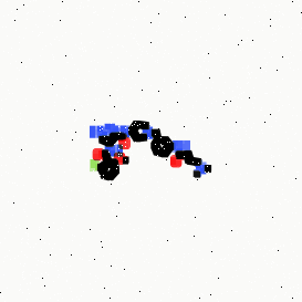 COc1cccc(F)c1C(=O)Nc1c[nH]nc1C(=O)NC1CCN(Cc2cccc(NC(=O)C=CCN(C)C)c2)CC1